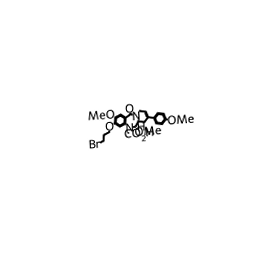 COc1ccc(C2=CCN3C(=O)c4cc(OC)c(OCCCBr)cc4N(C(=O)O)C(OC)[C@@H]3C2)cc1